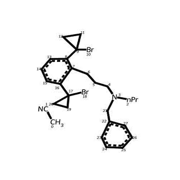 CC#N.CCCN(CCCc1c(C2(Br)CC2)cccc1C1(Br)CC1)Cc1ccccc1